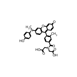 Cc1cc(C(=O)N(CC(=O)O)CC(=O)O)ccc1-c1c2ccc(=O)cc-2oc2cc(N(C)c3ccc(O)cc3)ccc12